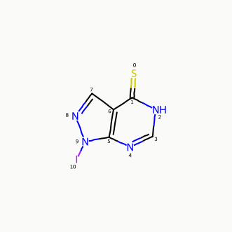 S=c1[nH]cnc2c1cnn2I